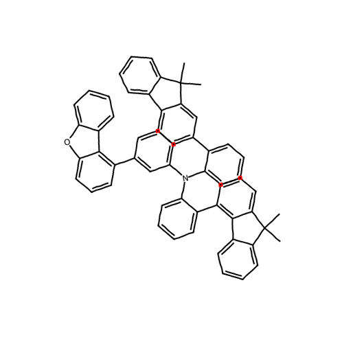 CC1(C)c2ccccc2-c2ccc(-c3ccccc3N(c3cccc(-c4cccc5oc6ccccc6c45)c3)c3ccccc3-c3cccc4c3-c3ccccc3C4(C)C)cc21